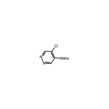 CNc1cnncc1Cl